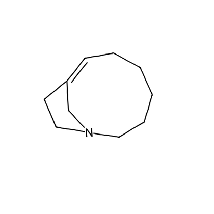 C1=C2/CCN(CCCCC/1)C2